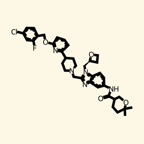 CC1(C)CCC(C(=O)Nc2ccc3c(c2)nc(CN2CCC(c4cccc(OCc5ccc(Cl)cc5F)n4)CC2)n3C[C@@H]2CCO2)CO1